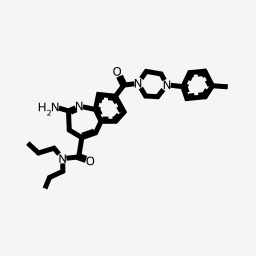 CCCN(CCC)C(=O)C1=Cc2ccc(C(=O)N3CCN(c4ccc(C)cc4)CC3)cc2N=C(N)C1